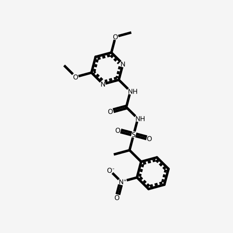 COc1cc(OC)nc(NC(=O)NS(=O)(=O)C(C)c2ccccc2[N+](=O)[O-])n1